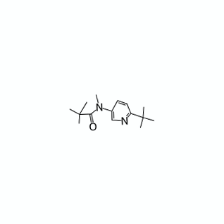 CN(C(=O)C(C)(C)C)c1ccc(C(C)(C)C)nc1